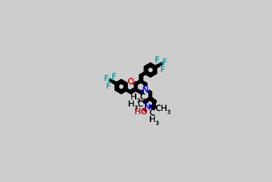 CC1(C)C=C(CN2CC(=Cc3ccc(C(F)(F)F)cc3)C(=O)C(=Cc3ccc(C(F)(F)F)cc3)C2)C(C)(C)N1O